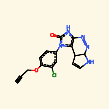 C#CCOc1ccc(-n2c3c([nH]c2=O)N=NC2NC=CC32)cc1Cl